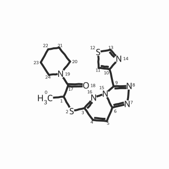 CC(Sc1ccc2nnc(-c3cscn3)n2n1)C(=O)N1CCCCC1